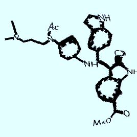 COC(=O)c1ccc2c(c1)NC(=O)C2=C(Nc1ccc(N(CCCN(C)C)C(C)=O)cc1)c1ccc2[nH]ccc2c1